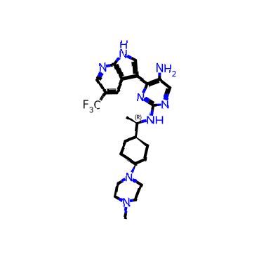 C[C@@H](Nc1ncc(N)c(-c2c[nH]c3ncc(C(F)(F)F)cc23)n1)[C@H]1CC[C@@H](N2CCN(C)CC2)CC1